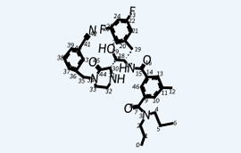 CCCN(CCC)C(=O)c1cc(C)cc(C(=O)N[C@@H](Cc2cc(F)cc(F)c2)C(O)[C@@H]2NCCN(Cc3cccc(C#N)c3)C2=O)c1